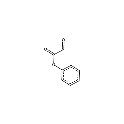 O=PC(=O)Oc1ccccc1